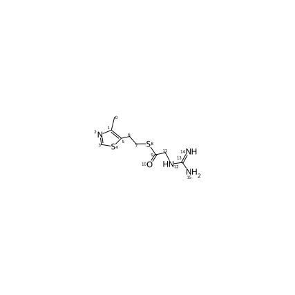 Cc1ncsc1CCSC(=O)CNC(=N)N